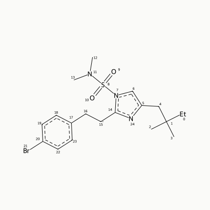 CCC(C)(C)Cc1cn(S(=O)(=O)N(C)C)c([CH]Cc2ccc(Br)cc2)n1